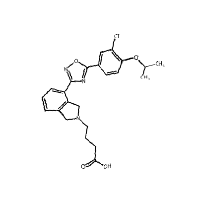 CC(C)Oc1ccc(-c2nc(-c3cccc4c3CN(CCCC(=O)O)C4)no2)cc1Cl